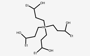 CCC(O)CC[PH](CCC(O)CC)(CCC(O)CC)CCC(O)CC